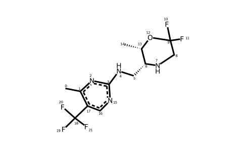 Cc1nc(NC[C@H]2NCC(F)(F)O[C@H]2C)ncc1C(F)(F)F